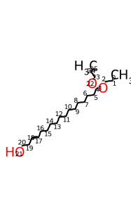 CCCOC(CCCCCCCCCCCC/C=C/CCO)OCCC